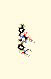 COc1nn(-c2ccc(F)c(N(C)C(C)=O)c2)c(=O)n(Cc2ccc(C(F)(F)F)c(F)c2)c1=O